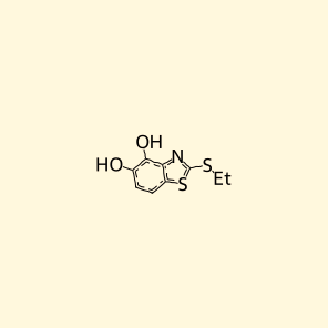 CCSc1nc2c(O)c(O)ccc2s1